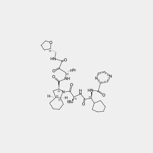 CCC[C@H](NC(=O)[C@@H]1C[C@@H]2CCCC[C@@H]2N1C(=O)[C@@H](NC(=O)[C@@H](NC(=O)c1cnccn1)C1CCCCC1)C(C)(C)C)C(=O)C(=O)NC[C@@H]1CCCO1